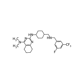 CN(C)c1nc(NC2CCC(CNCc3cc(F)cc(C(F)(F)F)c3)CC2)nc2c1CCCC2